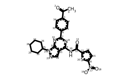 CC(=O)c1ccc(-c2nc(NC(=O)c3ccc([N+](=O)[O-])s3)c3cnn(C4CCCCC4)c3n2)cc1